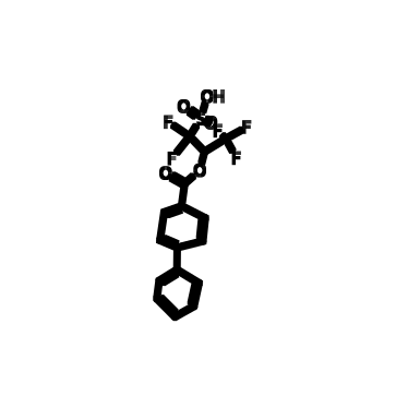 O=C(OC(C(F)(F)F)C(F)(F)S(=O)(=O)O)c1ccc(-c2ccccc2)cc1